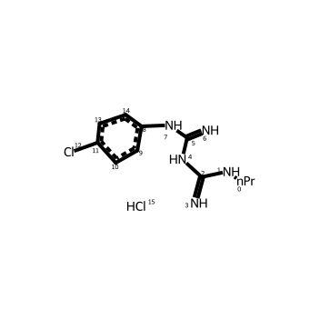 CCCNC(=N)NC(=N)Nc1ccc(Cl)cc1.Cl